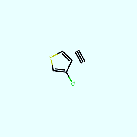 C#C.Clc1ccsc1